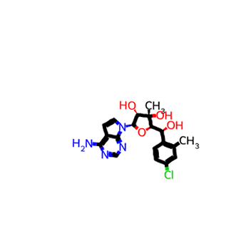 Cc1cc(Cl)ccc1[C@H](O)[C@H]1O[C@@H](n2ccc3c(N)ncnc32)[C@H](O)[C@]1(C)O